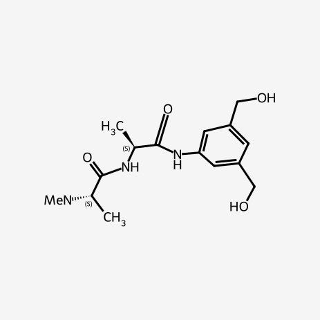 CN[C@@H](C)C(=O)N[C@@H](C)C(=O)Nc1cc(CO)cc(CO)c1